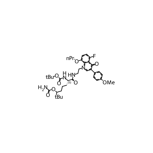 CCCOc1ccc(F)c2c(=O)c(-c3ccc(OC)cc3)cn(CCNC(=O)[C@H](CCCC(OC(N)=O)C(C)(C)C)NC(=O)OC(C)(C)C)c12